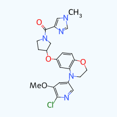 COc1cc(N2CCOc3ccc(OC4CCN(C(=O)c5cn(C)cn5)C4)cc32)cnc1Cl